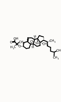 CC(C)CCC[C@@H](C)[C@H]1CC[C@H]2[C@@H]3CC=C4C[C@@H](OC(C)(C)C(=O)O)CC[C@]4(C)[C@H]3CC[C@]12C